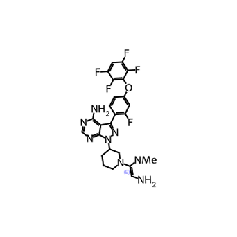 CN/C(=C\N)N1CCCC(n2nc(-c3ccc(Oc4c(F)c(F)cc(F)c4F)cc3F)c3c(N)ncnc32)C1